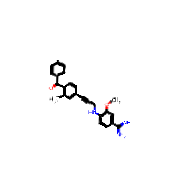 COc1cc(C(=N)N)ccc1NCC#Cc1ccc(C(=O)c2ccccc2)c(C)c1